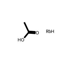 CC(=O)O.[RbH]